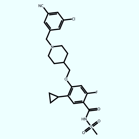 CS(=O)(=O)NC(=O)c1cc(C2CC2)c(OCC2CCN(Cc3cc(Cl)cc(C#N)c3)CC2)cc1F